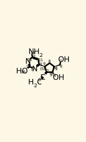 C=C=C1[C@@H](O)[C@H](CO)C[C@@H]1c1cc(N)nc(O)n1